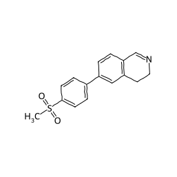 CS(=O)(=O)c1ccc(-c2ccc3c(c2)CCN=C3)cc1